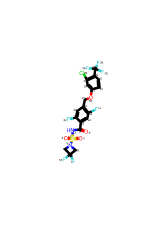 O=C(NS(=O)(=O)N1CC(F)(F)C1)c1cc(F)c(COc2ccc(C(F)(F)F)c(Cl)c2)cc1F